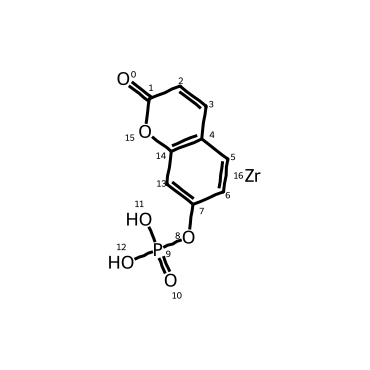 O=c1ccc2ccc(OP(=O)(O)O)cc2o1.[Zr]